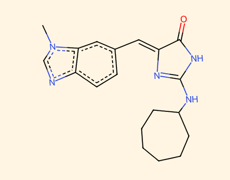 Cn1cnc2ccc(/C=C3\N=C(NC4CCCCCC4)NC3=O)cc21